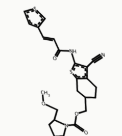 COCC1CCCN1C(=O)OCC1CCc2c(sc(NC(=O)C=Cc3ccsc3)c2C#N)C1